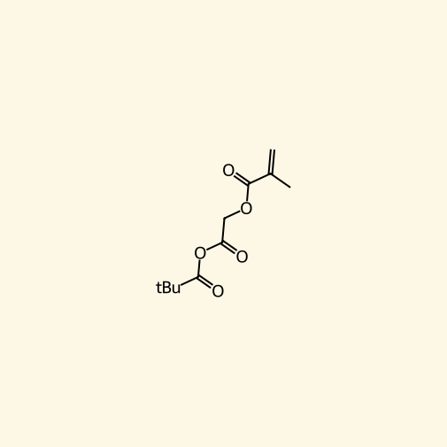 C=C(C)C(=O)OCC(=O)OC(=O)C(C)(C)C